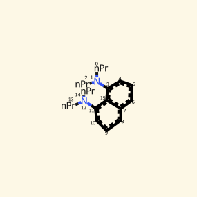 CCCN(CCC)c1cccc2cccc(N(CCC)CCC)c12